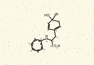 O=C(O)C(CC1=CCC(O)(Br)C=C1)Nc1ccccc1